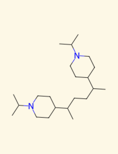 CC(CCC(C)C1CCN(C(C)C)CC1)C1CCN(C(C)C)CC1